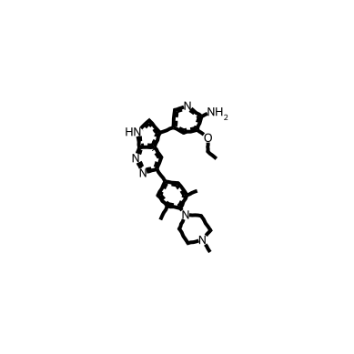 CCOc1cc(-c2c[nH]c3nnc(-c4cc(C)c(N5CCN(C)CC5)c(C)c4)cc23)cnc1N